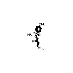 Cc1ccc(S(=O)(=O)OCC(O)CCN)cc1.Cl